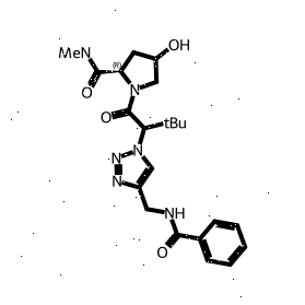 CNC(=O)[C@H]1CC(O)CN1C(=O)C(n1cc(CNC(=O)c2ccccc2)nn1)C(C)(C)C